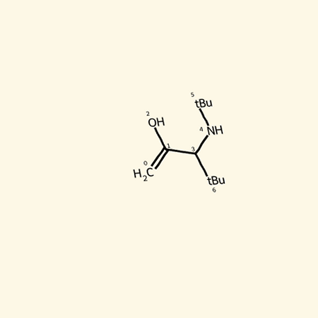 C=C(O)C(NC(C)(C)C)C(C)(C)C